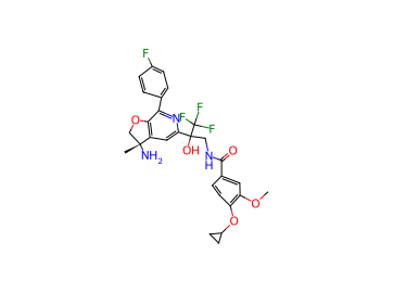 COc1cc(C(=O)NCC(O)(c2cc3c(c(-c4ccc(F)cc4)n2)OC[C@@]3(C)N)C(F)(F)F)ccc1OC1CC1